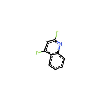 Fc1[c]c(F)c2ccccc2n1